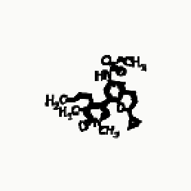 C=C/C=C\c1c(-c2cc(NS(=O)(=O)CC)cc3c2OC(C2CC2)CC3)cn(C)c(=O)c1C